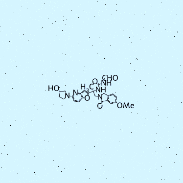 COc1ccc2c(c1)C(=O)N(C[C@](C)(NC(=O)NC=O)c1cc3nc(N4CC[C@@H](O)C4)ccc3o1)C2